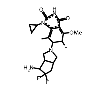 COC1=c2c(=O)[nH]c(=O)n(C3CC3)c2=C(C)C(N2CC3CC(F)(F)C(N)C3C2)C1F